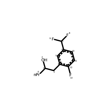 CCCC(O)Cc1cc(C(F)F)ccc1F